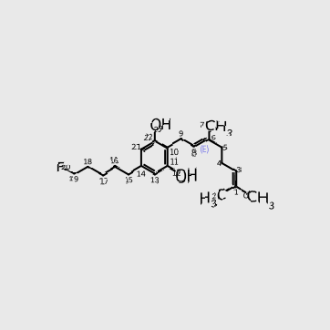 CC(C)=CCC/C(C)=C/Cc1c(O)cc(CCCCCF)cc1O